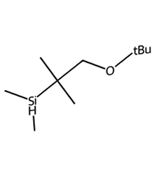 C[SiH](C)C(C)(C)COC(C)(C)C